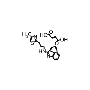 Cc1csc(CCCNC2=Nc3cccc4cccc2c34)n1.O=C(O)C=CC(=O)O